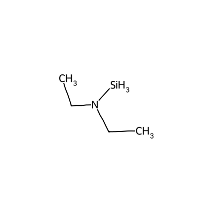 CCN([SiH3])CC